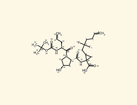 C=CCCC(F)(F)CC1CC1(NC(=O)[C@@H]1C[C@@H](O)CN1C(=O)[C@H](CC=C)NC(=O)OC(C)(C)C)C(=O)O